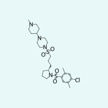 Cc1cc(S(=O)(=O)N2CCC[C@H]2CCCS(=O)(=O)N2CCN(C3CCN(C)CC3)CC2)c(C)cc1Cl